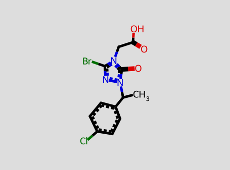 CC(c1ccc(Cl)cc1)n1nc(Br)n(CC(=O)O)c1=O